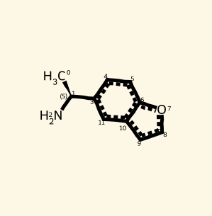 C[C@H](N)c1ccc2occc2c1